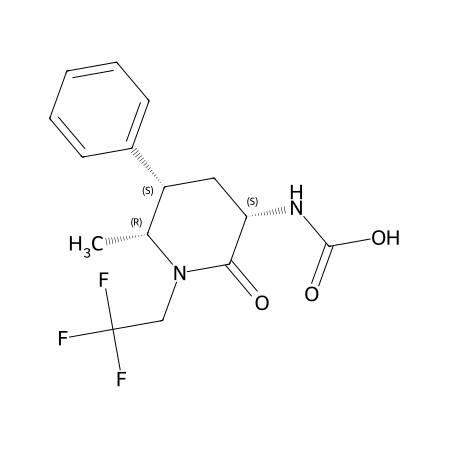 C[C@@H]1[C@H](c2ccccc2)C[C@H](NC(=O)O)C(=O)N1CC(F)(F)F